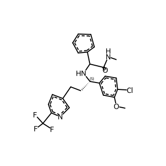 CNC(=O)C(N[C@@H](CCc1ccc(C(F)(F)F)nc1)c1ccc(Cl)c(OC)c1)c1ccccc1